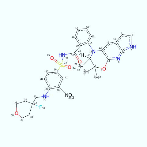 [2H]C1([2H])Oc2nc3[nH]ccc3cc2N(c2ccccc2C(=O)NS(=O)(=O)c2ccc(NCC3(F)CCOCC3)c([N+](=O)[O-])c2)C1([2H])[2H]